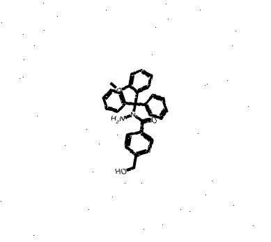 COc1ccccc1C(c1ccccc1)(c1ccccc1)N(N)C(=O)c1ccc(CO)cc1